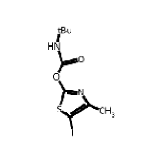 Cc1nc(OC(=O)NC(C)(C)C)sc1I